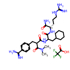 CN(C)C(=O)C(Cc1ccc(C(=N)N)cc1)C(=O)NC(CC1CCCCC1)C(=O)N[C@@H](CCCNC(=N)N)C(N)=O.O=C(O)C(F)(F)F